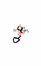 B[C@@H]1O[C@@]2(CC)CS[C@H]1C2C(=O)OCc1ccccc1